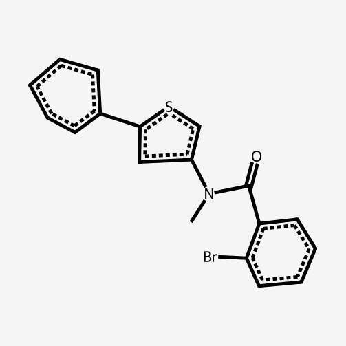 CN(C(=O)c1ccccc1Br)c1csc(-c2ccccc2)c1